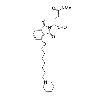 CNC(=O)CCC(C=O)N1C(=O)c2cccc(OCCCCCCCN3CCCCC3)c2C1=O